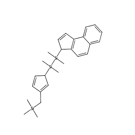 C[Si](C)(C)CC1=CC([Si](C)(C)[Si](C)(C)C2C=Cc3c2ccc2ccccc32)C=C1